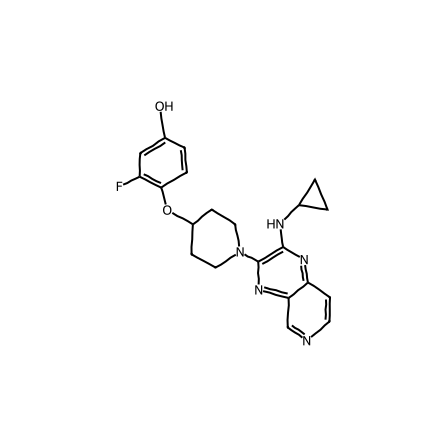 Oc1ccc(OC2CCN(c3nc4cnccc4nc3NC3CC3)CC2)c(F)c1